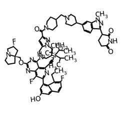 CCc1c(F)ccc2cc(O)cc(-c3nc(C#C[Si](C(C)C)(C(C)C)C(C)C)c4c(N5CCCn6nc(C(=O)N7CCC(CN8CCC(c9ccc%10c(C%11CCC(=O)NC%11=O)nn(C)c%10c9)CC8)CC7)cc6C5)nc(OC[C@@]56CCCN5C[C@H](F)C6)nc4c3F)c12